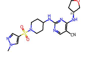 Cn1cc(S(=O)(=O)N2CCC(Nc3ncc(C#N)c(N[C@H]4CCOC4)n3)CC2)cn1